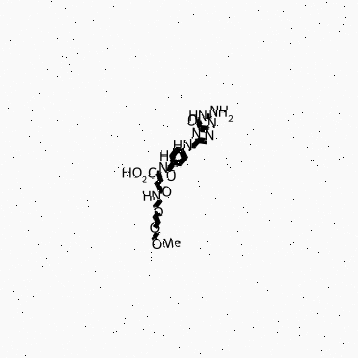 COCCOCCOCCNC(=O)CCC(NC(=O)c1ccc(NCc2cnc3nc(N)[nH]c(=O)c3n2)cc1)C(=O)O